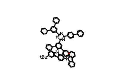 CC(C)(C)c1ccc2c(c1)c1ccc(-n3c4ccccc4c4ccccc43)cc1n2-c1c(-c2ccccc2)cc(-c2nc(-c3ccc(-c4ccccc4)cc3)nc(-c3cc(-c4ccccc4)cc(C4C=CC=CC4)c3)n2)cc1-c1ccccc1